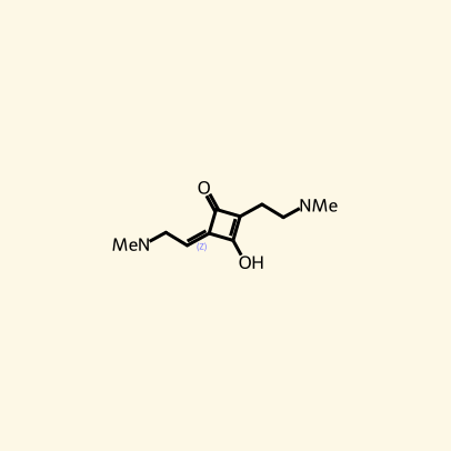 CNC/C=C1\C(=O)C(CCNC)=C1O